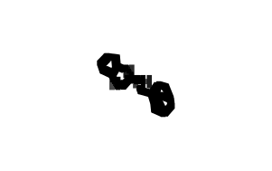 c1ccc2nc(PCC3C4CC5CC(C4)CC3C5)cnc2c1